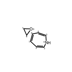 C1=CC=CNC=C1.C1CO1